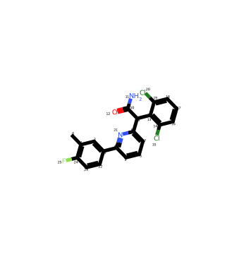 Cc1cc(-c2cccc(C(C(N)=O)c3c(Cl)cccc3Cl)n2)ccc1F